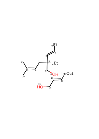 CC/C=C/C(CC)(CO)CC=C(C)C.CCCCCCCC/C=C/CO